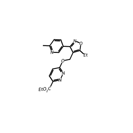 CCOC(=O)c1ccc(OCc2c(-c3ccc(C)nc3)noc2CC)nn1